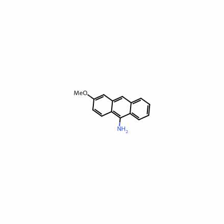 COc1ccc2c(N)c3ccccc3cc2c1